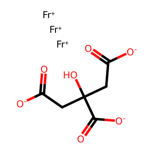 O=C([O-])CC(O)(CC(=O)[O-])C(=O)[O-].[Fr+].[Fr+].[Fr+]